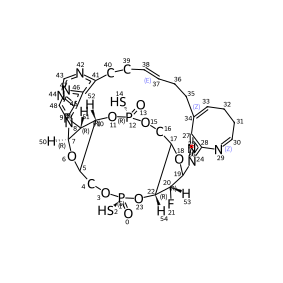 O=[P@]1(S)OCC2O[C@@H]3[C@H](F)[C@@H]2O[P@](=O)(S)OCC2OC([C@H](F)[C@@H]2O1)n1cnc2c1/N=C\CC/C=C\2CC/C=C/CCc1ncnc2c1ncn23